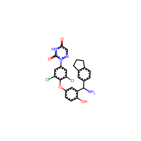 NC(c1ccc2c(c1)CCC2)c1cc(Oc2c(Cl)cc(-n3ncc(=O)[nH]c3=O)cc2Cl)ccc1O